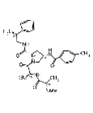 CN[C@@H](C)C(=O)N[C@H](C(=O)N1C[C@@H](NC(=O)c2ccc(C)cc2)C[C@H]1C(=O)NC[C@@H](C)c1ccccc1)C(C)(C)C